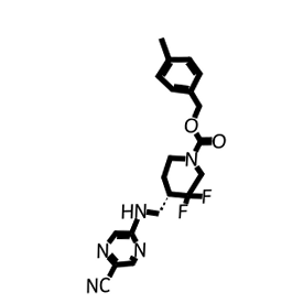 Cc1ccc(COC(=O)N2CC[C@@H](CNc3cnc(C#N)cn3)C(F)(F)C2)cc1